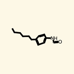 CCCCCCc1ccc(N[C]=O)cc1